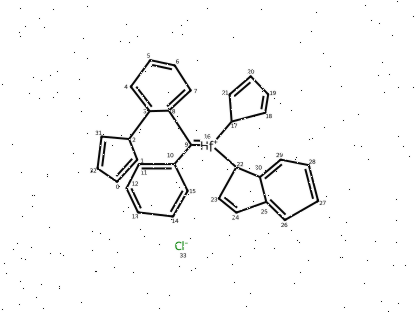 C1=CC(c2ccccc2[C](c2ccccc2)=[Hf+]([CH]2C=CC=C2)[CH]2C=Cc3ccccc32)C=C1.[Cl-]